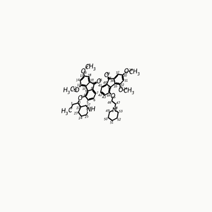 CCC(Oc1cccc2c1-c1c(OC)cc(OC)cc1C2=O)C1CCCNC1.COc1cc(OC)c2c(c1)C(=O)c1cccc(OCCN3CCCCC3)c1-2